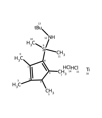 CC1=C(C)C(C)C(C)=C1[Si](C)(C)NC(C)(C)C.Cl.Cl.[Ti]